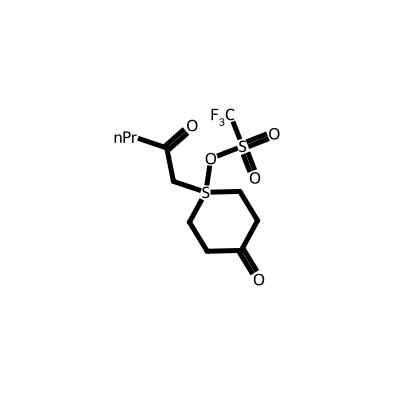 CCCC(=O)CS1(OS(=O)(=O)C(F)(F)F)CCC(=O)CC1